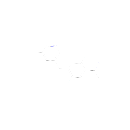 CC(=O)C(N)c1cc(F)c(Cc2cncc(C(=O)O)c2)cc1F